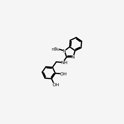 CCCCn1c(NCc2cccc(O)c2O)nc2ccccc21